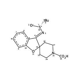 CC(C)(C)[S@@+]([O-])N=C1c2ccccc2OC12CCN(C(=O)O)CC2